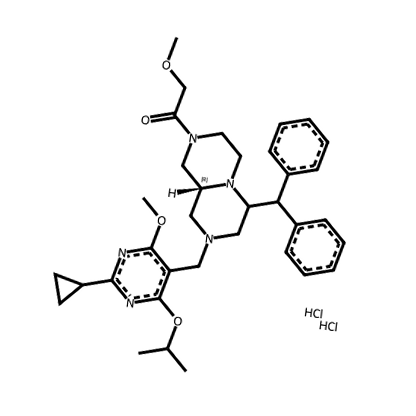 COCC(=O)N1CCN2C(C(c3ccccc3)c3ccccc3)CN(Cc3c(OC)nc(C4CC4)nc3OC(C)C)C[C@@H]2C1.Cl.Cl